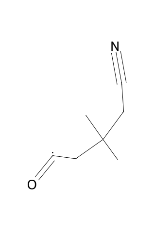 CC(C)(C[C]=O)CC#N